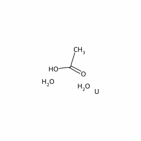 CC(=O)O.O.O.[U]